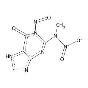 CN(c1nc2nc[nH]c2c(=O)n1N=O)[N+](=O)[O-]